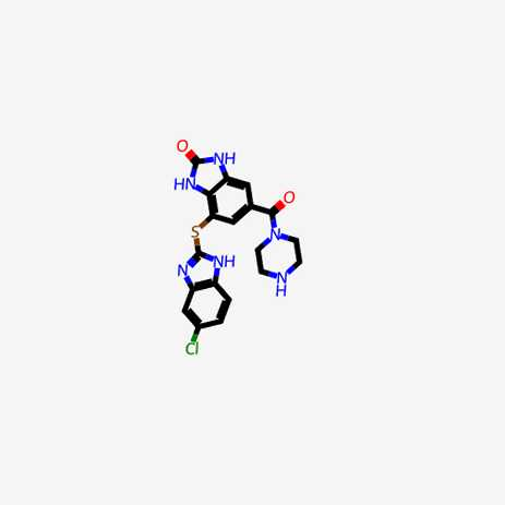 O=C(c1cc(Sc2nc3cc(Cl)ccc3[nH]2)c2[nH]c(=O)[nH]c2c1)N1CCNCC1